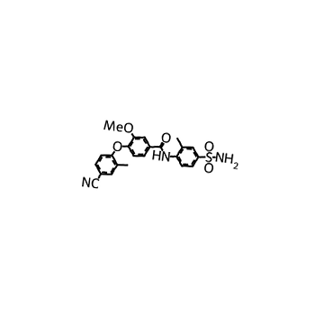 COc1cc(C(=O)Nc2ccc(S(N)(=O)=O)cc2C)ccc1Oc1ccc(C#N)cc1C